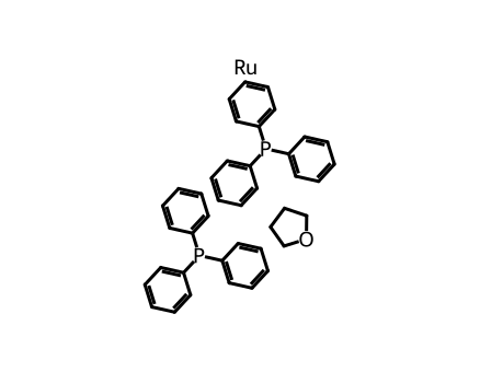 C1CCOC1.[Ru].c1ccc(P(c2ccccc2)c2ccccc2)cc1.c1ccc(P(c2ccccc2)c2ccccc2)cc1